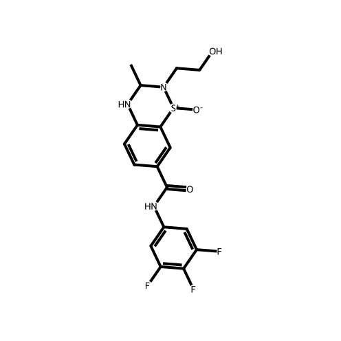 CC1Nc2ccc(C(=O)Nc3cc(F)c(F)c(F)c3)cc2[S+]([O-])N1CCO